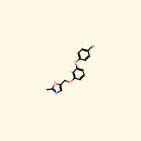 Cc1ncc(COc2cccc(Oc3ccc(C(C)C)cc3)c2)o1